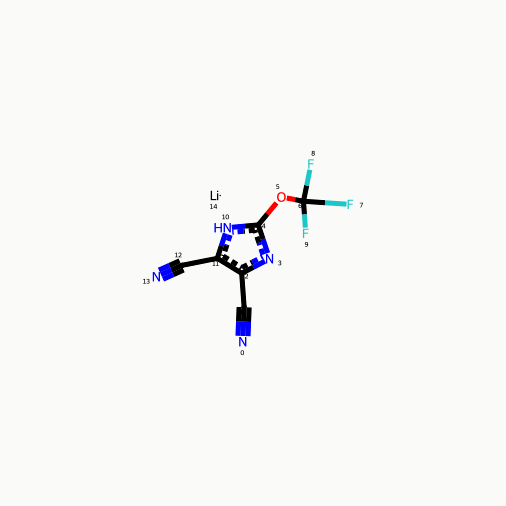 N#Cc1nc(OC(F)(F)F)[nH]c1C#N.[Li]